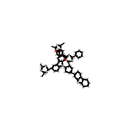 Cc1nc(C)nc(-c2ccc3c(c2)c2cc(-c4nc(C)nc(C)n4)ccc2n3-c2ccc(-c3ccc4c(c3)oc3ccccc34)cc2-c2nc(-c3ccccc3)nc(-c3ccccc3)n2)n1